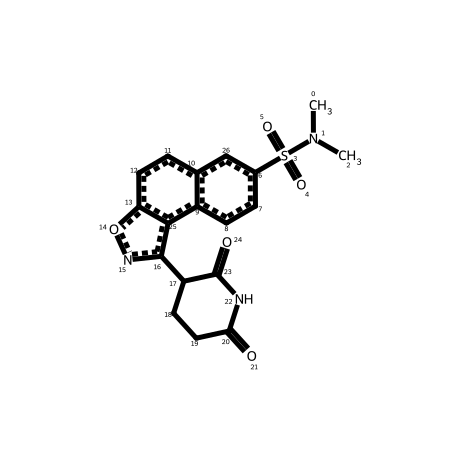 CN(C)S(=O)(=O)c1ccc2c(ccc3onc(C4CCC(=O)NC4=O)c32)c1